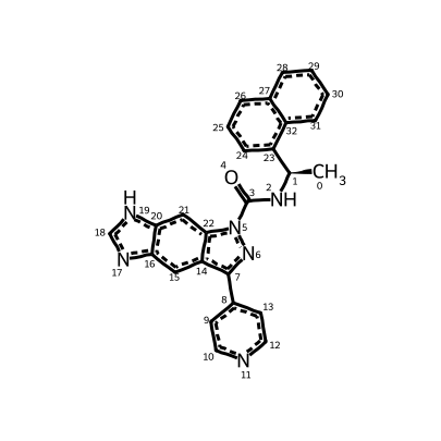 C[C@@H](NC(=O)n1nc(-c2ccncc2)c2cc3nc[nH]c3cc21)c1cccc2ccccc12